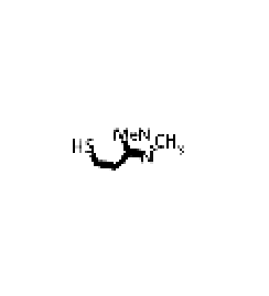 C/N=C(/C=C\S)NC